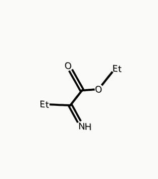 CCOC(=O)C(=N)CC